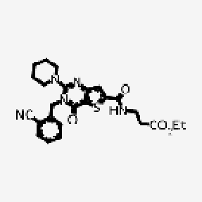 CCOC(=O)CCNC(=O)c1cc2nc(N3CCCCC3)n(Cc3ccccc3C#N)c(=O)c2s1